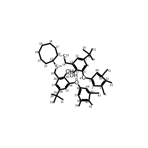 Cc1cc(Oc2cc(C(C)(C)C)cc(CS[C@H]3CCCCCC[C@@H]3SCc3cc(C(C)(C)C)cc(Oc4cc(C)c(C)c(C)c4)c3O)c2O)cc(C)c1C